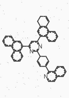 C1=Cc2c(cc(-c3cc(-c4cc5ccccc5c5ccccc45)nc(C4C=CC(c5nccc6ccccc56)=CC4)n3)c3ccccc23)CC1